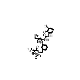 C=C1NS(=O)(=O)N(Cc2cccc(-n3nc(CC(C)C)cc3NC(=O)Nc3cccc(Cl)c3Cl)c2)C1=O